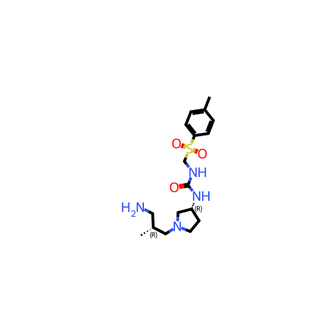 Cc1ccc(S(=O)(=O)CNC(=O)N[C@@H]2CCN(C[C@H](C)CN)C2)cc1